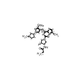 C=CC(=O)N[C@H]1CN(c2nc(Nc3cn([C@H]4CCN(C)C4)nc3OC)c3ncc(C)n3n2)C[C@@H]1F